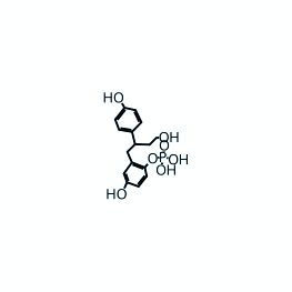 O=P(O)(O)Oc1ccc(O)cc1CC(CCO)c1ccc(O)cc1